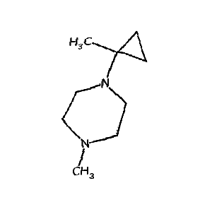 CN1CCN(C2(C)CC2)CC1